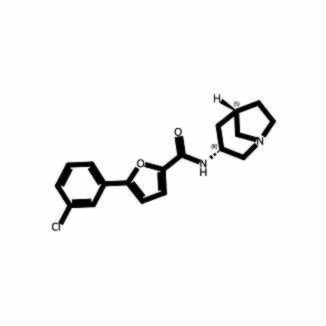 O=C(N[C@@H]1C[C@@H]2CCN(C2)C1)c1ccc(-c2cccc(Cl)c2)o1